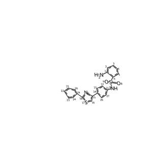 Nc1ccccc1S(=O)(=O)Nc1ccc(-c2csc(-c3ccccc3)n2)cc1